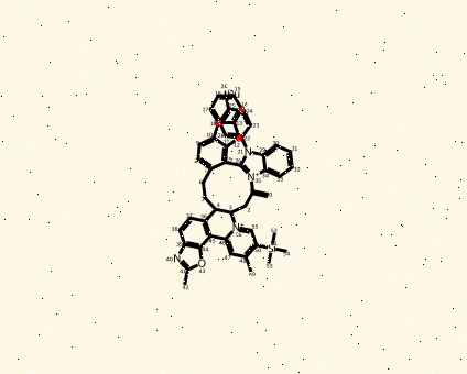 C=C1CC2C(CCc3ccc4c(oc5ccccc54)c3-c3n(-c4ccc(C(C)(C)C)cc4)c4ccccc4[n+]31)c1ccc3nc(C)oc3c1-c1cc(C)c([Si](C)(C)C)c[n+]12